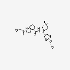 O=C(NCC(c1cnc(OCC2CC2)nc1)N1CCC(F)(F)CC1)c1cccc2nc(NCC3CC3)ccc12